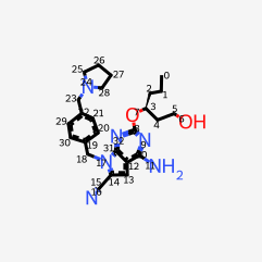 CCC[C@@H](CCO)Oc1nc(N)c2cc(C#N)n(Cc3ccc(CN4CCCC4)cc3)c2n1